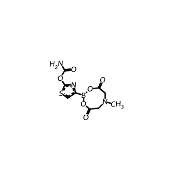 CN1CC(=O)OB(c2csc(OC(N)=O)n2)OC(=O)C1